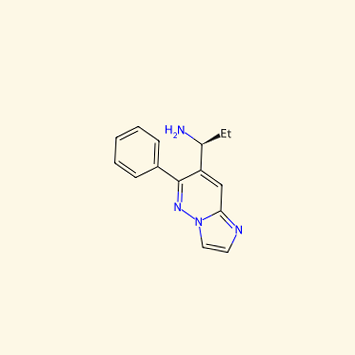 CC[C@H](N)c1cc2nccn2nc1-c1ccccc1